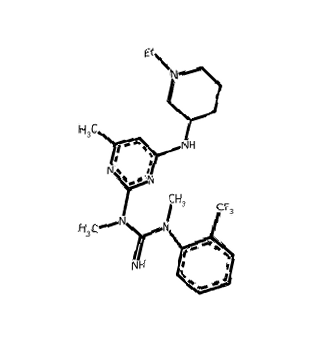 CCN1CCCC(Nc2cc(C)nc(N(C)C(=N)N(C)c3ccccc3C(F)(F)F)n2)C1